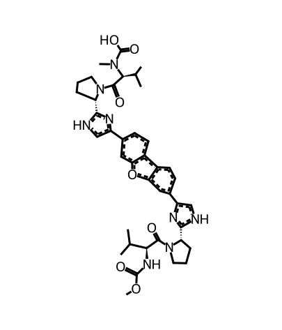 COC(=O)N[C@H](C(=O)N1CCC[C@H]1c1nc(-c2ccc3c(c2)oc2cc(-c4c[nH]c([C@@H]5CCCN5C(=O)[C@H](C(C)C)N(C)C(=O)O)n4)ccc23)c[nH]1)C(C)C